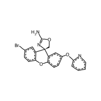 NC1=N[C@@]2(CO1)c1cc(Br)ccc1Oc1ccc(Oc3ccccn3)cc12